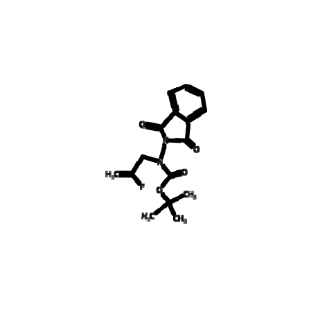 C=C(F)CN(C(=O)OC(C)(C)C)N1C(=O)c2ccccc2C1=O